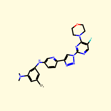 CN(C)c1cc(Nc2ccc(-c3cn(-c4ncc(F)c(N5CCOCC5)n4)nn3)nc2)cc(C(F)(F)F)c1